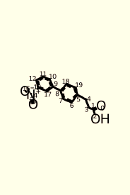 O=C(O)CCc1ccc(-c2cccc([N+](=O)[O-])c2)cc1